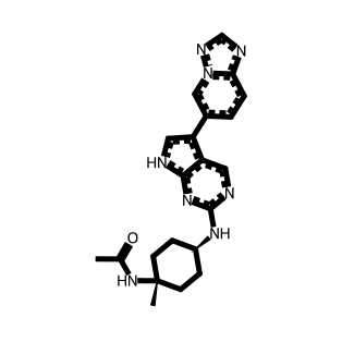 CC(=O)N[C@]1(C)CC[C@@H](Nc2ncc3c(-c4ccc5ncnn5c4)c[nH]c3n2)CC1